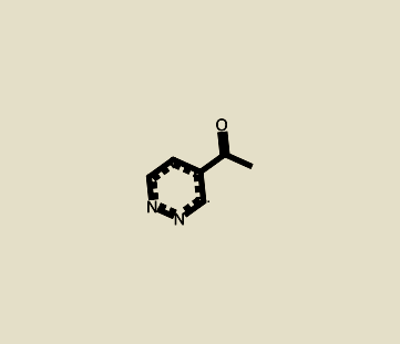 CC(=O)c1[c]nncc1